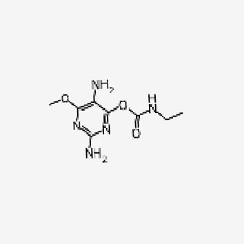 CCNC(=O)Oc1nc(N)nc(OC)c1N